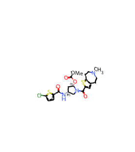 COC(=O)O[C@H]1C[C@@H](NC(=O)c2ccc(Cl)s2)CN1C(=O)c1cc2c(s1)CCN(C)CC2